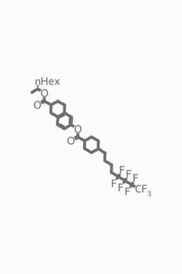 CCCCCC[C@H](C)OC(=O)C1CCc2cc(OC(=O)C3CCC(CCCCC(F)(F)C(F)(F)C(F)(F)C(F)(F)F)CC3)ccc2C1